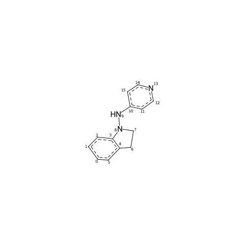 c1ccc2c(c1)CCN2Nc1ccncc1